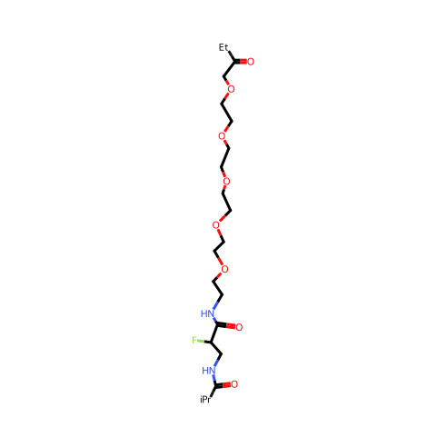 CCC(=O)COCCOCCOCCOCCOCCNC(=O)C(F)CNC(=O)C(C)C